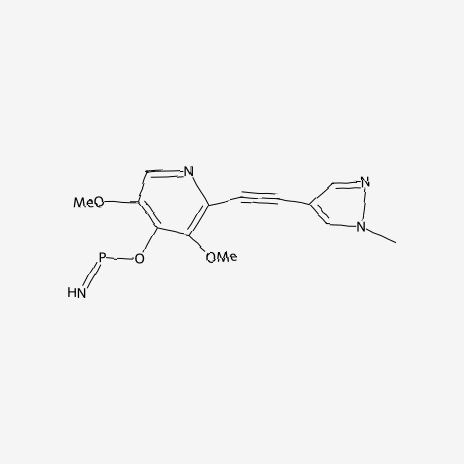 COc1cnc(C#Cc2cnn(C)c2)c(OC)c1OP=N